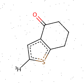 [3H]c1cc2c(s1)CCCC2=O